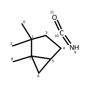 CC1(C)CCC2CC21C.N=C=O